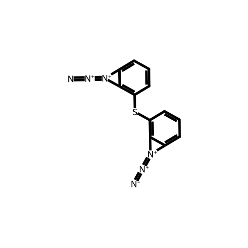 [N-]=[N+]=[N+]1c2cccc(Sc3cccc4c3[N+]4=[N+]=[N-])c21